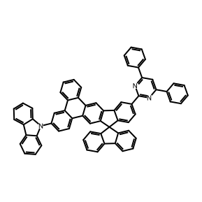 c1ccc(-c2cc(-c3ccccc3)nc(-c3ccc4c(c3)-c3cc5c6ccccc6c6cc(-n7c8ccccc8c8ccccc87)ccc6c5cc3C43c4ccccc4-c4ccccc43)n2)cc1